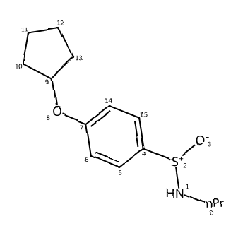 CCCN[S+]([O-])c1ccc(OC2CCCC2)cc1